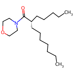 CCCCCCC[C@@H](CCCCC)C(=O)N1CCOCC1